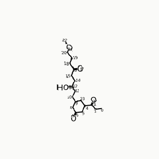 CCC(=O)C1CC(=O)CC(CC[C@@H](O)CCC(=O)CCCOC)C1